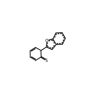 S=C1[C]=CC=CC1c1cc2ccccc2o1